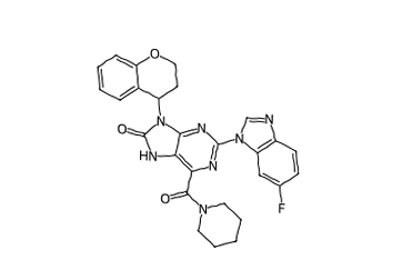 O=C(c1nc(-n2cnc3ccc(F)cc32)nc2c1[nH]c(=O)n2C1CCOc2ccccc21)N1CCCCC1